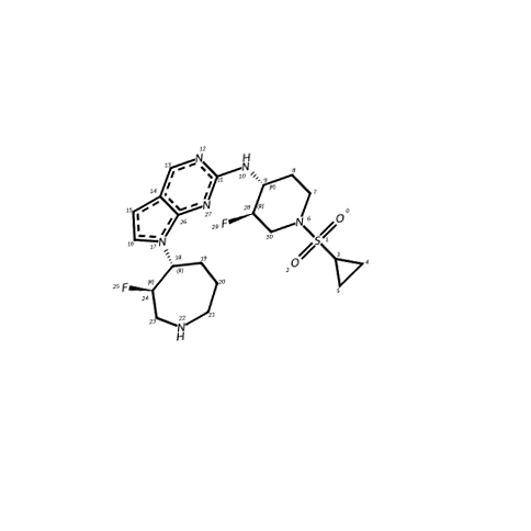 O=S(=O)(C1CC1)N1CC[C@@H](Nc2ncc3ccn([C@@H]4CCCNC[C@H]4F)c3n2)[C@H](F)C1